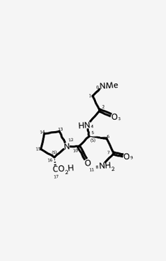 CNCC(=O)N[C@@H](CC(N)=O)C(=O)N1CCC[C@H]1C(=O)O